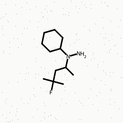 CC(CC(C)(C)F)N(N)C1CCCCC1